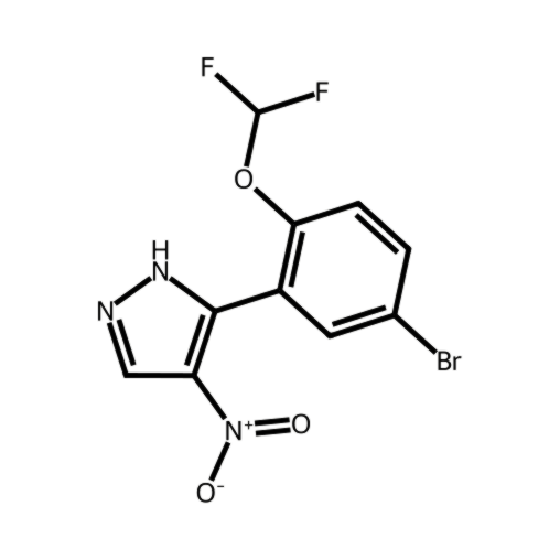 O=[N+]([O-])c1cn[nH]c1-c1cc(Br)ccc1OC(F)F